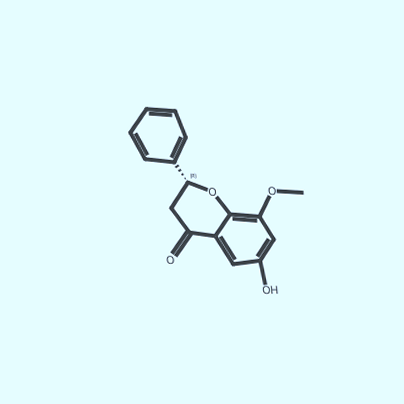 COc1cc(O)cc2c1O[C@@H](c1ccccc1)CC2=O